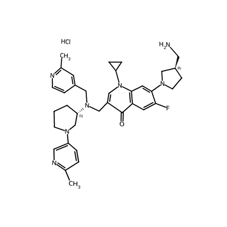 Cc1ccc(N2CCC[C@H](N(Cc3ccnc(C)c3)Cc3cn(C4CC4)c4cc(N5CC[C@H](CN)C5)c(F)cc4c3=O)C2)cn1.Cl